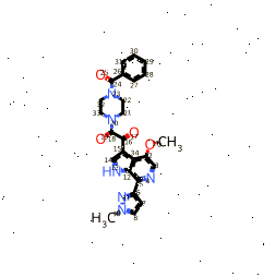 COc1cnc(-c2ccn(C)n2)c2[nH]cc(C(=O)C(=O)N3CCN(C(=O)c4ccccc4)CC3)c12